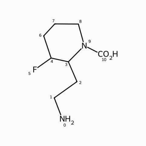 NCCC1C(F)CCCN1C(=O)O